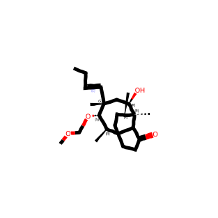 CC/C=C/[C@]1(C)C[C@@H](O)[C@@]2(C)C3C(=O)CCC3(CC[C@H]2C)[C@@H](C)[C@@H]1OCOC